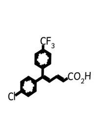 O=C(O)C=CC=C(c1ccc(Cl)cc1)c1ccc(C(F)(F)F)cc1